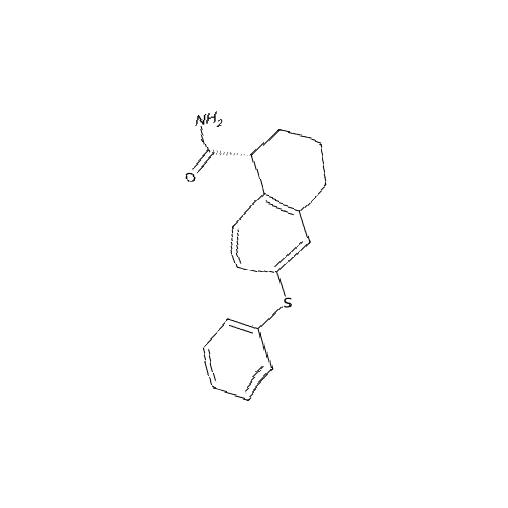 NC(=O)[C@@H]1CCCc2cc(Sc3ccccc3)ccc21